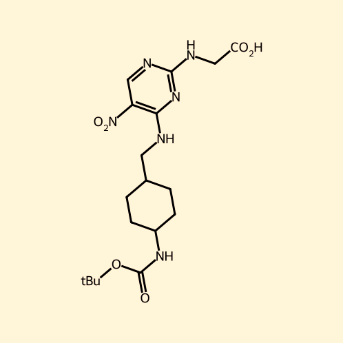 CC(C)(C)OC(=O)NC1CCC(CNc2nc(NCC(=O)O)ncc2[N+](=O)[O-])CC1